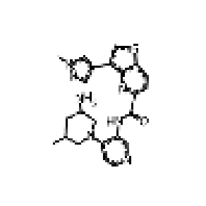 CC1CC(N)CN(c2ccncc2NC(=O)c2ccc3scc(-c4cnn(C)c4)c3n2)C1